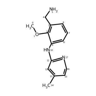 COc1c(CN)cccc1Nc1cc(C)ccn1